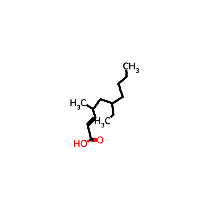 CCCCC(CC)CC(C)C=CC(=O)O